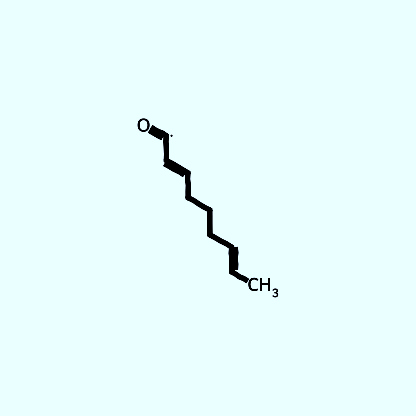 CC=CCCCC=C[C]=O